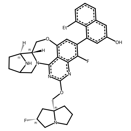 CCc1cccc2cc(O)cc(-c3cc4c5c(nc(OC[C@]67CCCN6C[C@H](F)C7)nc5c3F)N3CC5CC[C@H](N5)[C@@H]3CO4)c12